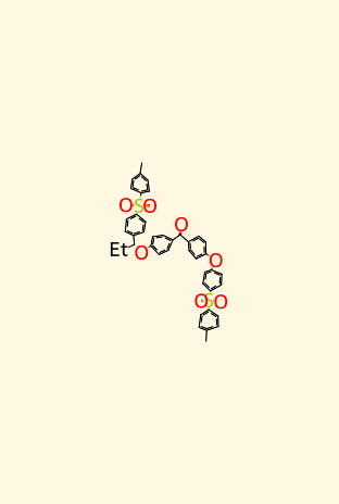 CCC(Oc1ccc(C(=O)c2ccc(Oc3ccc(S(=O)(=O)c4ccc(C)cc4)cc3)cc2)cc1)c1ccc(S(=O)(=O)c2ccc(C)cc2)cc1